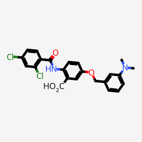 CN(C)c1cccc(COc2ccc(NC(=O)c3ccc(Cl)cc3Cl)c(C(=O)O)c2)c1